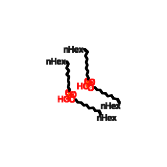 CCCCCC/C=C\CCCCCCCCOP(=O)(O)OCCCCCCCC/C=C\CCCCCC.CCCCCC/C=C\CCCCCCCCOP(=O)(O)OCCCCCCCC/C=C\CCCCCC